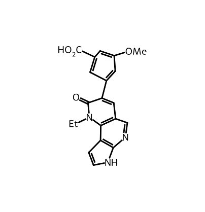 CCn1c(=O)c(-c2cc(OC)cc(C(=O)O)c2)cc2cnc3[nH]ccc3c21